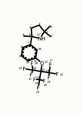 CC1(C)CCC(C)(c2cccc(OC(C(F)(F)F)(C(F)(F)F)C(F)(F)F)c2)N1